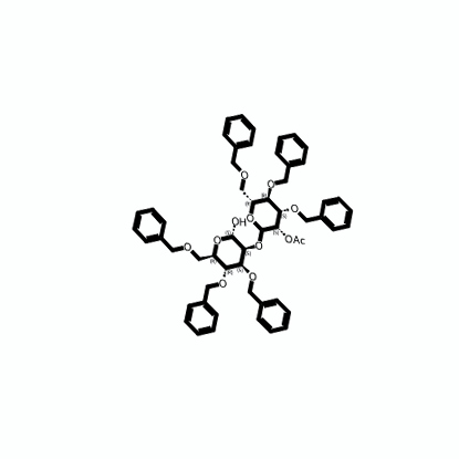 CC(=O)O[C@@H]1C(O[C@H]2[C@@H](OCc3ccccc3)[C@H](OCc3ccccc3)[C@@H](COCc3ccccc3)O[C@@H]2O)O[C@H](COCc2ccccc2)[C@@H](OCc2ccccc2)[C@@H]1OCc1ccccc1